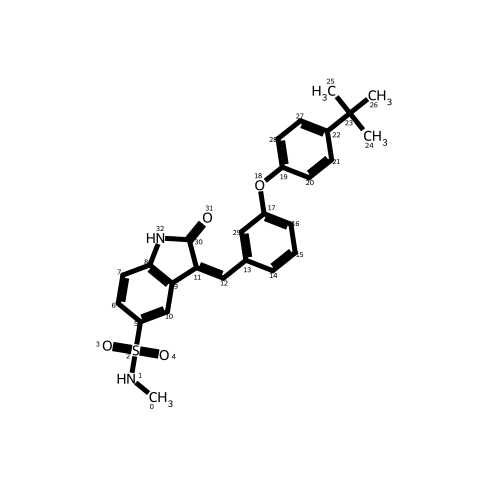 CNS(=O)(=O)c1ccc2c(c1)C(=Cc1cccc(Oc3ccc(C(C)(C)C)cc3)c1)C(=O)N2